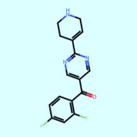 O=C(c1cnc(C2=CCNCC2)nc1)c1ccc(F)cc1F